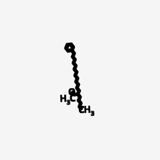 CCCCCC(CCCCCCCCCCCCCc1ccccc1)C(C)=O